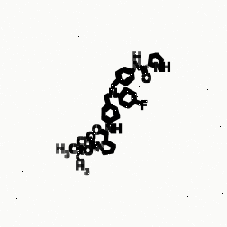 CC(C)(C)OC(=O)N1CCCC1C(=O)Nc1ccc(CN(Cc2ccc(NC(=O)[C@@H]3CCCN3)cc2)c2ccc(F)cc2)cc1